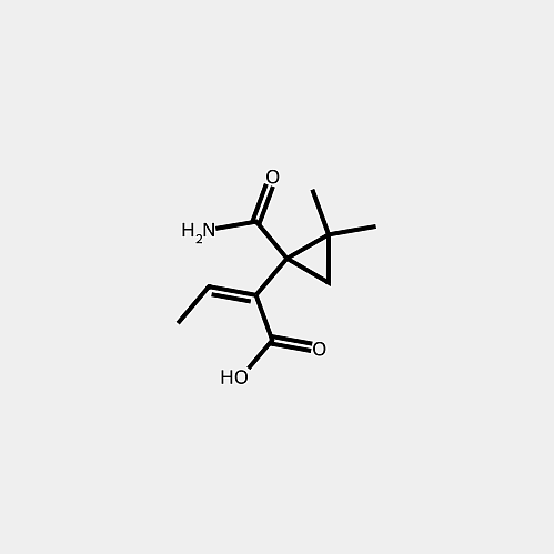 CC=C(C(=O)O)C1(C(N)=O)CC1(C)C